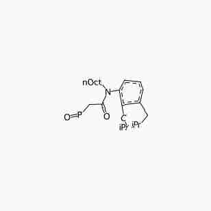 CCCCCCCCN(C(=O)CP=O)c1cccc(CC(C)C)c1CC(C)C